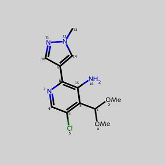 COC(OC)c1c(Cl)cnc(-c2cnn(C)c2)c1N